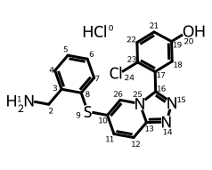 Cl.NCc1ccccc1Sc1ccc2nnc(-c3cc(O)ccc3Cl)n2c1